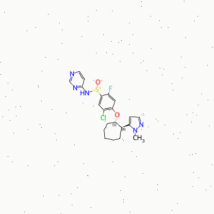 Cn1nccc1[C@H]1CCCCC[C@@H]1Oc1cc(F)c([S+]([O-])Nc2ccncn2)cc1Cl